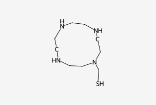 SCN1CCNCCNCCNCC1